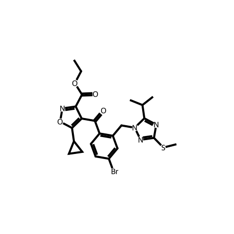 CCOC(=O)c1noc(C2CC2)c1C(=O)c1ccc(Br)cc1Cn1nc(SC)nc1C(C)C